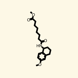 COC(=O)CCCCCCC(=O)NC1CCCc2cc(OC)ccc21